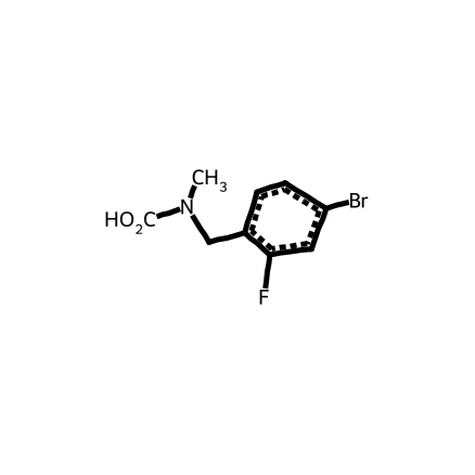 CN(Cc1ccc(Br)cc1F)C(=O)O